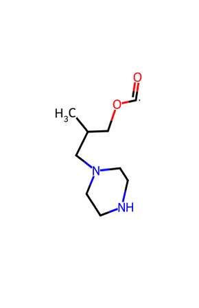 CC(CO[C]=O)CN1CCNCC1